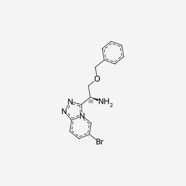 N[C@H](COCc1ccccc1)c1nnc2ccc(Br)cn12